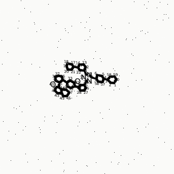 c1ccc(-c2ccc(-c3nc(-c4cccc(-c5ccccc5)c4)nc(-c4cccc5c4oc4cc(-c6cccc7oc8ccc9ccccc9c8c67)ccc45)n3)cc2)cc1